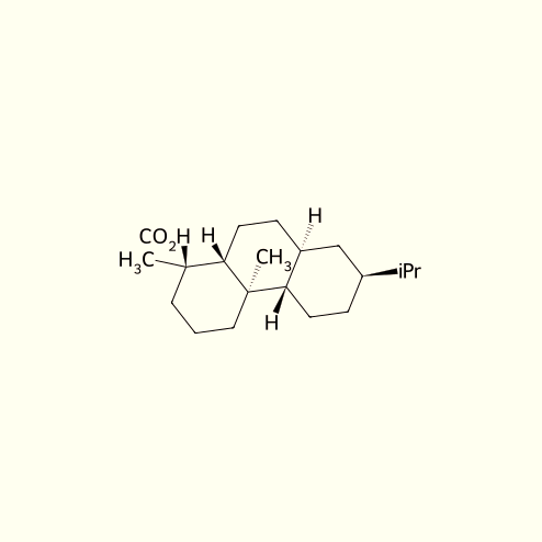 CC(C)[C@H]1CC[C@H]2[C@@H](CC[C@@H]3[C@]2(C)CCC[C@@]3(C)C(=O)O)C1